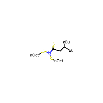 CCCCCCCCSN(SCCCCCCCC)C(=S)[CH]C(CC)CCCC